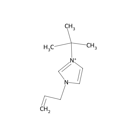 C=CCn1cc[n+](C(C)(C)C)c1